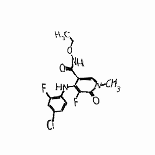 CCONC(=O)c1cn(C)c(=O)c(F)c1Nc1ccc(Cl)cc1F